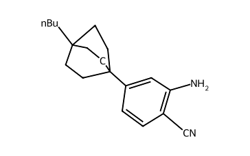 CCCCC12CCC(c3ccc(C#N)c(N)c3)(CC1)CC2